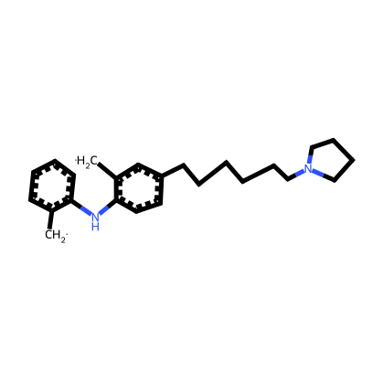 [CH2]c1ccccc1Nc1ccc(CCCCCCN2CCCC2)cc1[CH2]